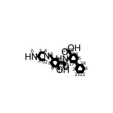 CNC1CCN(Cc2ccc(O)c(C(=O)Nc3cc(-c4ccccc4)ccc3C(=O)O)c2)CC1